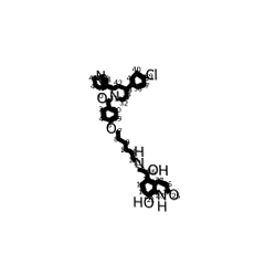 O=C(c1ccc(OCCCCCCNCC(O)c2ccc(O)c3[nH]c(=O)ccc23)cc1)N1CCC(c2ccc(Cl)cc2)CC1C1CN2CCC1CC2